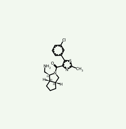 Cc1nc(C(=O)N2C[C@@H]3CCC[C@@H]3[C@H]2CN)c(-c2cccc(Cl)c2)s1